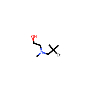 CCC(C)(C)CN(C)CCO